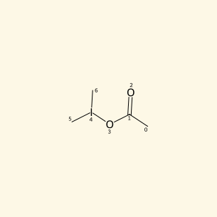 CC(=O)OI(C)C